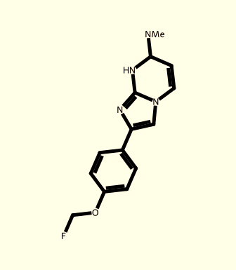 CNC1C=Cn2cc(-c3ccc(OCF)cc3)nc2N1